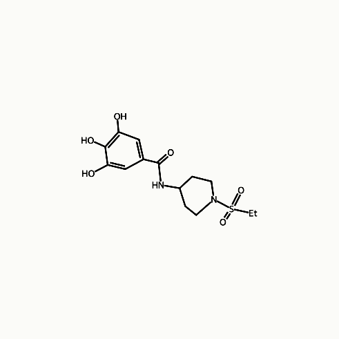 CCS(=O)(=O)N1CCC(NC(=O)c2cc(O)c(O)c(O)c2)CC1